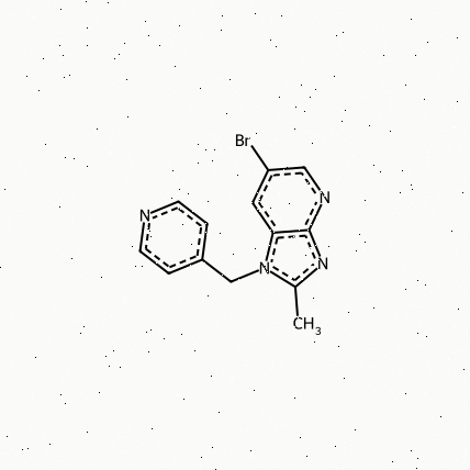 Cc1nc2ncc(Br)cc2n1Cc1ccncc1